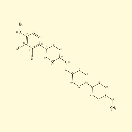 C=CC1CCC(C2CCC(COC3CCC(c4ccc(OCC)c(F)c4F)CO3)CC2)CC1